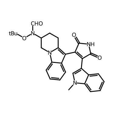 Cn1cc(C2=C(c3c4n(c5ccccc35)CC(N(C=O)OC(C)(C)C)CC4)C(=O)NC2=O)c2ccccc21